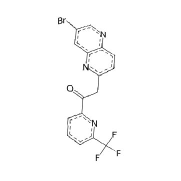 O=C(Cc1ccc2ncc(Br)cc2n1)c1cccc(C(F)(F)F)n1